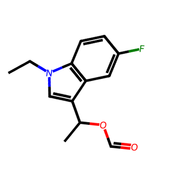 CCn1cc(C(C)OC=O)c2cc(F)ccc21